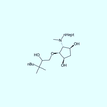 CCCCCCCN(C)[C@H]1[C@H](OCC(O)C(C)(C)CCCC)[C@H](O)C[C@@H]1O